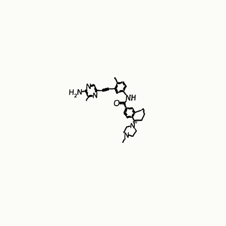 Cc1ccc(NC(=O)c2ccc3c(c2)CCC[C@@H]3N2CCN(C)CC2)cc1C#Cc1cnc(N)c(C)n1